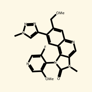 COCc1cc2ncc3c(c2cc1-c1cn(C)nn1)n(-c1c(F)cncc1OC)c(=O)n3C